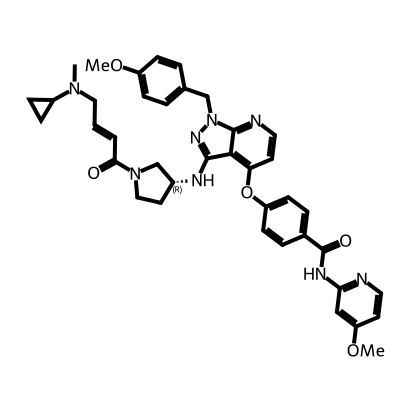 COc1ccc(Cn2nc(N[C@@H]3CCN(C(=O)C=CCN(C)C4CC4)C3)c3c(Oc4ccc(C(=O)Nc5cc(OC)ccn5)cc4)ccnc32)cc1